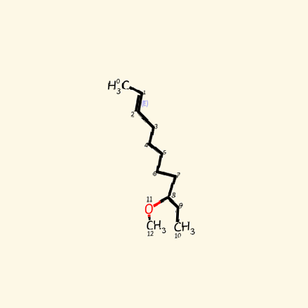 C/C=C/CCCCCC(CC)OC